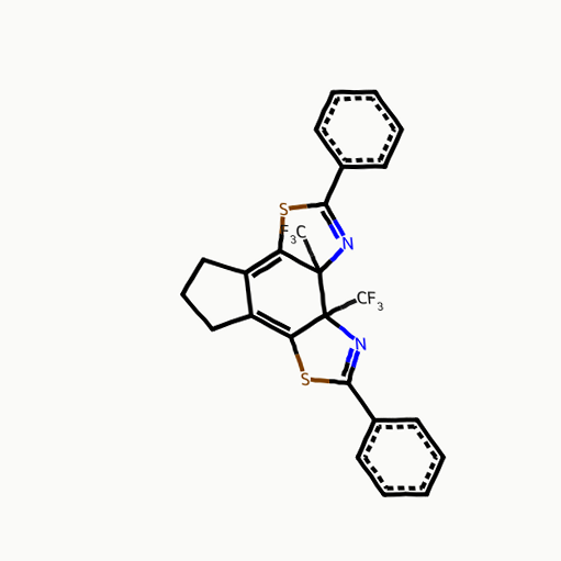 FC(F)(F)C12N=C(c3ccccc3)SC1=C1CCCC1=C1SC(c3ccccc3)=NC12C(F)(F)F